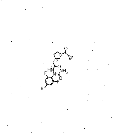 NC(=O)N(NC(=O)C[C@@H]1CCN(C(=O)C2CC2)C1)c1c(F)cc(Br)cc1F